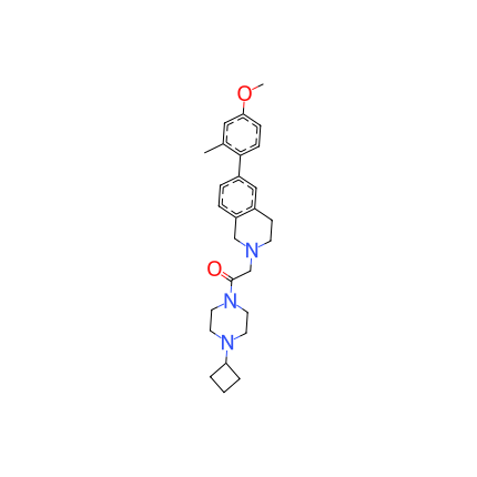 COc1ccc(-c2ccc3c(c2)CCN(CC(=O)N2CCN(C4CCC4)CC2)C3)c(C)c1